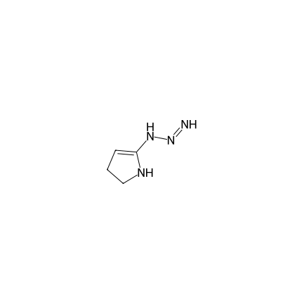 N=NNC1=CCCN1